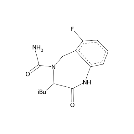 CCC(C)C1C(=O)Nc2cccc(F)c2CN1C(N)=O